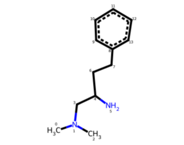 CN(C)CC(N)CCc1ccccc1